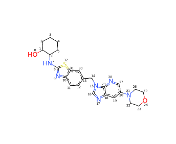 OC1CCCCC1Nc1nc2ccc(Cn3cnc4cc(N5CCOCC5)cnc43)cc2s1